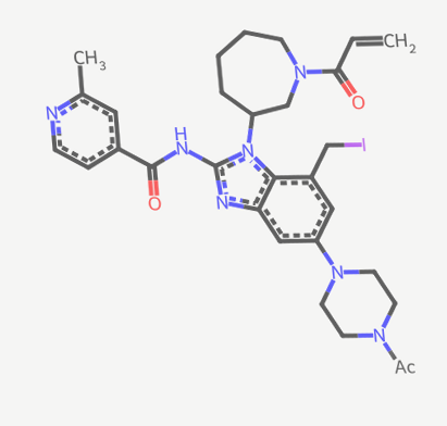 C=CC(=O)N1CCCCC(n2c(NC(=O)c3ccnc(C)c3)nc3cc(N4CCN(C(C)=O)CC4)cc(CI)c32)C1